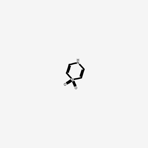 O=S1(=O)C=CNC=C1